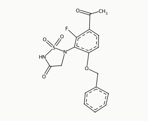 CC(=O)c1ccc(OCc2ccccc2)c(N2CC(=O)NS2(=O)=O)c1F